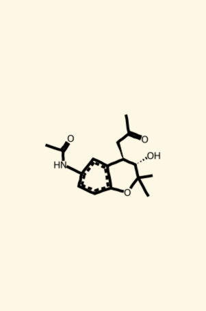 CC(=O)C[C@@H]1c2cc(NC(C)=O)ccc2OC(C)(C)[C@H]1O